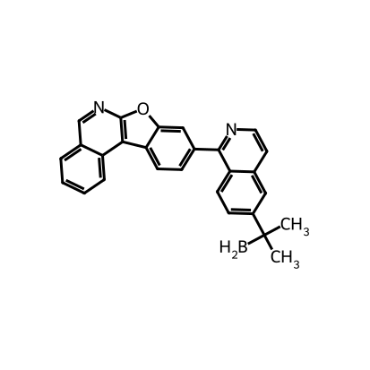 BC(C)(C)c1ccc2c(-c3ccc4c(c3)oc3ncc5ccccc5c34)nccc2c1